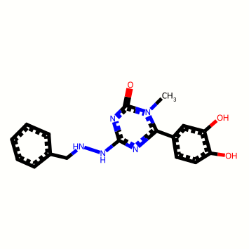 Cn1c(-c2ccc(O)c(O)c2)nc(NNCc2ccccc2)nc1=O